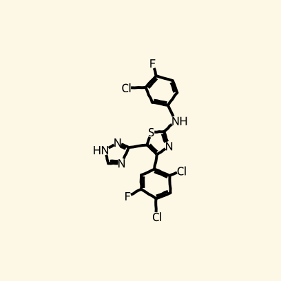 Fc1ccc(Nc2nc(-c3cc(F)c(Cl)cc3Cl)c(-c3nc[nH]n3)s2)cc1Cl